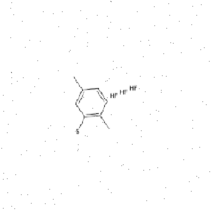 Cc1ccc(C)c([S])c1.F.F.F